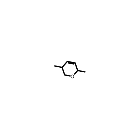 CC1C=CC(C)OC1